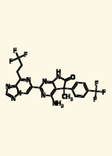 CC1(c2ccc(C(F)(F)F)cc2)C(=O)Nc2nc(-c3cn4ncnc4c(CCC(F)(F)F)n3)nc(N)c21